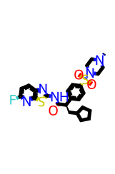 CN1CCN(S(=O)(=O)c2ccc([C@@H](CC3CCCC3)C(=O)Nc3nc4ccc(F)nc4s3)cc2)CC1